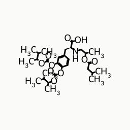 CC(C)CC(=O)OC(C)CN[C@@H](Cc1ccc(OC(=O)OC(C)C(C)C)c(OC(=O)OC(C)C(C)C)c1)C(=O)O